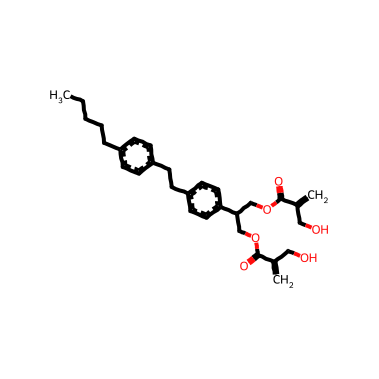 C=C(CO)C(=O)OCC(COC(=O)C(=C)CO)c1ccc(CCc2ccc(CCCCC)cc2)cc1